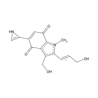 Cn1c(/C=C/CO)c(CO)c2c1C(=O)C=C(C1=CN1)C2=O